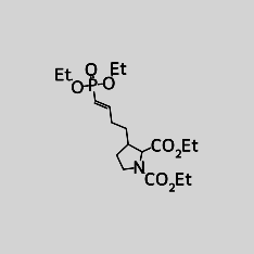 CCOC(=O)C1C(CCC=CP(=O)(OCC)OCC)CCN1C(=O)OCC